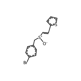 [O-][S+](C=Cc1cccs1)Cc1ccc(Br)cc1